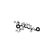 COc1cccc(OC)c1C(=O)NC(CCCNC(=O)OCc1ccccc1)C(=O)O